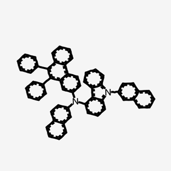 c1ccc(-c2c(-c3ccccc3)c3cc(N(c4ccc5ccccc5c4)c4cccc5c4c4ccccc4n5-c4ccc5ccccc5c4)ccc3c3ccccc23)cc1